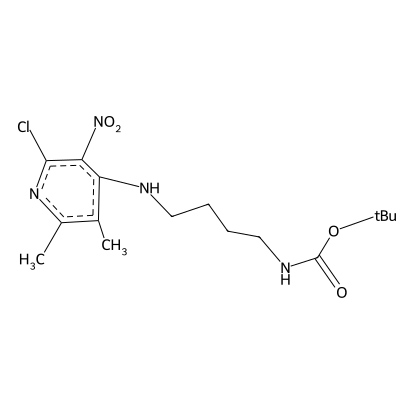 Cc1nc(Cl)c([N+](=O)[O-])c(NCCCCNC(=O)OC(C)(C)C)c1C